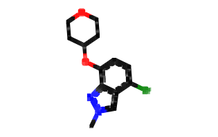 Cn1cc2c(Br)ccc(OC3CCOCC3)c2n1